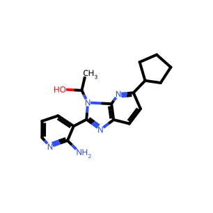 CC(O)n1c(-c2cccnc2N)nc2ccc(C3CCCC3)nc21